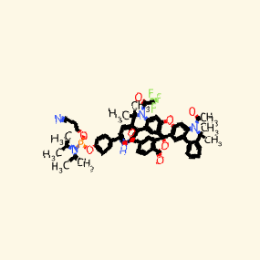 CC(=O)N1c2cc3c(cc2-c2ccccc2C1(C)C)C1(OC(=O)c2ccc(C(=O)NCc4ccc(OP(OCCC#N)N(C(C)C)C(C)C)cc4)cc21)c1cc2c(cc1O3)N(C(=O)C(F)(F)F)C(C)(C)c1ccccc1-2